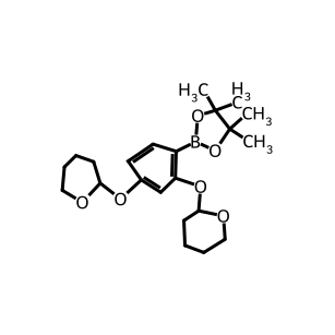 CC1(C)OB(c2ccc(OC3CCCCO3)cc2OC2CCCCO2)OC1(C)C